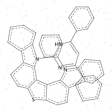 C1=C(c2ccccc2)NC(n2c3ccccc3c3ccc4sc5ccc6c7ccccc7n(-c7ccccc7)c6c5c4c32)N=C1c1ccccc1